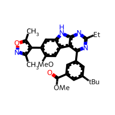 CCc1nc(-c2cc(C(=O)OC)cc(C(C)(C)C)c2)c2c(n1)[nH]c1cc(-c3c(C)noc3C)c(OC)cc12